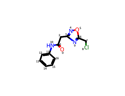 O=C(Cc1noc(CCl)n1)Nc1ccccc1